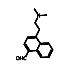 CN(C)CCc1ccc(C=O)c2ccccc12